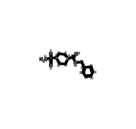 CS(=O)(=O)N1CCN(C(=O)OCc2ccccc2)CC1